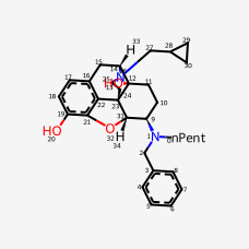 CCCCCN(Cc1ccccc1)[C@@H]1CC[C@@]2(O)[C@H]3Cc4ccc(O)c5c4[C@@]2(CCN3CC2CC2)[C@H]1O5